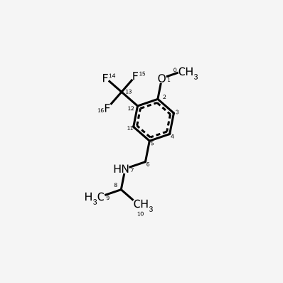 COc1ccc(CNC(C)C)cc1C(F)(F)F